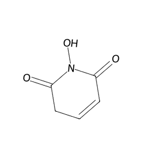 O=C1C=CCC(=O)N1O